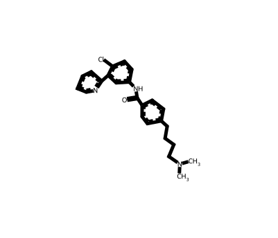 CN(C)CCCCc1ccc(C(=O)Nc2ccc(Cl)c(-c3ccccn3)c2)cc1